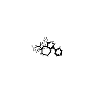 Cc1nnc(-c2ccccc2)c2c1CC(C)(C(C)C)CCCC2